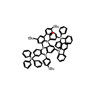 CC(C)(C)c1ccc(-c2cc(C(C)(C)C)cc3c2N(c2cccc([Si](c4ccccc4)(c4ccccc4)c4ccccc4)c2)c2cc(-n4c5ccccc5c5ccccc54)cc4c2B3c2ccc([Si](c3ccccc3)(c3ccccc3)c3ccccc3)cc2N4c2ccc(C(C)(C)C)cc2)cc1